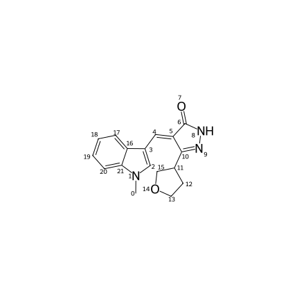 Cn1cc(C=C2C(=O)NN=C2C2CCOC2)c2ccccc21